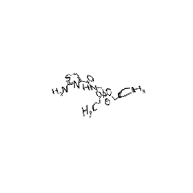 CCOP(=O)(CNC(=O)c1csc(N)n1)OCC